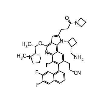 C[C@H](Oc1nc2c(F)c(-c3cccc4cc(F)c(F)cc34)c(CCC#N)cc2c2c1cc(CCC(=O)N1CCC1)n2[C@@H]1CC[C@@H]1CN)[C@@H]1CCCN1C